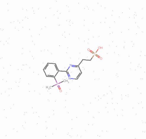 CP(C)(=O)c1ccccc1-c1nccc(CCS(=O)(=O)O)n1